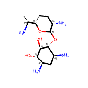 C[C@@H](N)[C@@H]1CC[C@H](N)[C@@H](O[C@H]2[C@H](O)[C@@H](O)[C@H](N)C[C@@H]2N)O1